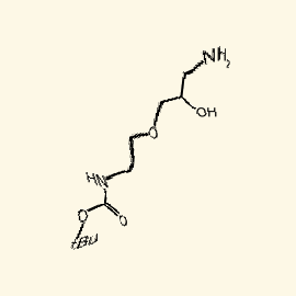 CC(C)(C)OC(=O)NCCOCC(O)CN